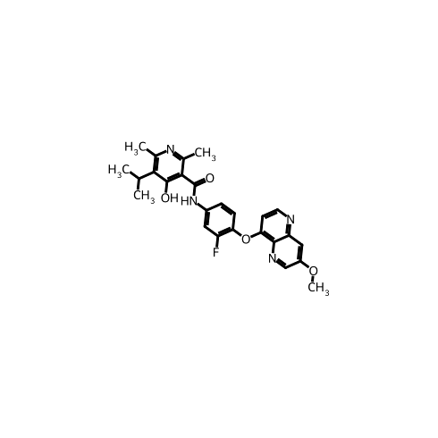 COc1cnc2c(Oc3ccc(NC(=O)c4c(C)nc(C)c(C(C)C)c4O)cc3F)ccnc2c1